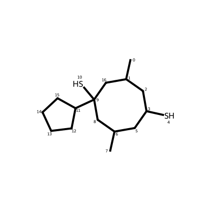 CC1CC(S)CC(C)CC(S)(C2CCCC2)C1